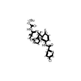 CC(C)(C)OC(=O)NC1=N[C@](C)(C2C=C(NC(=O)c3ccc(Cl)cn3)C=CC2F)[C@@H]2CCN=[S@]2(=O)C1(C)C